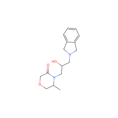 CC1COCC(=O)N1CC(O)CN1Cc2ccccc2C1